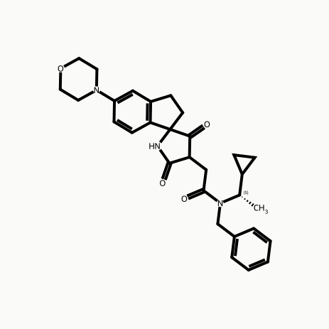 C[C@@H](C1CC1)N(Cc1ccccc1)C(=O)CC1C(=O)NC2(CCc3cc(N4CCOCC4)ccc32)C1=O